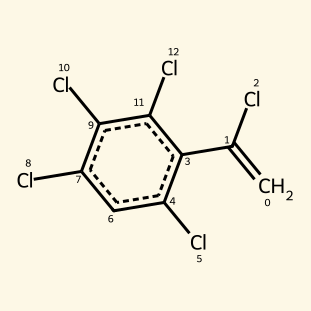 C=C(Cl)c1c(Cl)cc(Cl)c(Cl)c1Cl